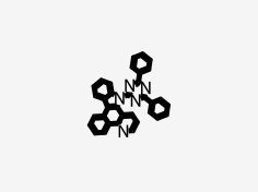 c1ccc(-c2nc(-c3ccccc3)nc(-n3c4ccccc4c4c5ccccc5c5ncccc5c43)n2)cc1